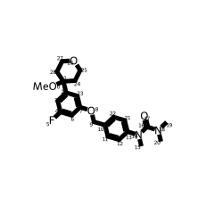 COC1(c2cc(F)cc(OCc3ccc(N(C)C(=O)N(C)C)cc3)c2)CCOCC1